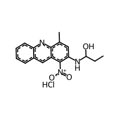 CCC(O)Nc1cc(C)c2nc3ccccc3cc2c1[N+](=O)[O-].Cl